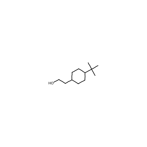 CC(C)(C)C1CCC(CCO)CC1